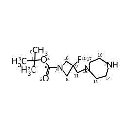 CC(C)(C)OC(=O)N1CC(F)(CN2CCNCC2)C1